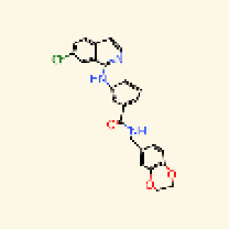 O=C(NCc1ccc2c(c1)OCCO2)c1cccc(Nc2nccc3ccc(Cl)cc23)c1